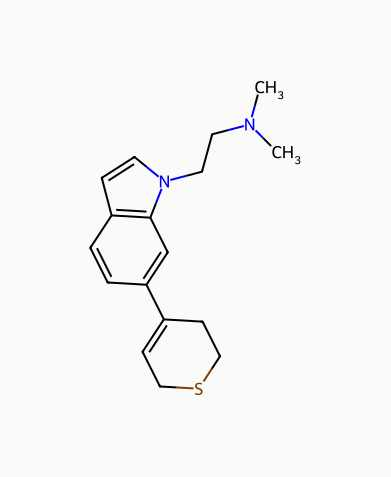 CN(C)CCn1ccc2ccc(C3=CCSCC3)cc21